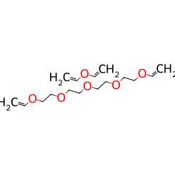 C=COC=C.C=COCCOCCOCCOCCOC=C